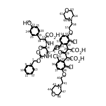 CC(C)C[C@H](NC(=O)OCc1ccccc1)C(=O)N[C@@H](Cc1ccc(O)cc1)C(=O)O.O=C(O)C(C(=O)C(C(=O)O)c1c(Cl)ccc(OCCN2CCOCC2)c1Cl)c1c(Cl)ccc(OCCN2CCOCC2)c1Cl